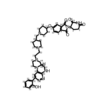 O=C1CCC(N2C(=O)c3ccc(OC4CCN(CC5CCN(CCN6CCN7c8cc(-c9ccccc9O)nnc8NC[C@H]7C6)CC5)CC4)cc3C2=O)C(=O)N1